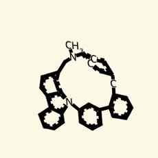 CN1Cc2ccc3c4ccccc4n(c3c2)-c2cccc(c2)-c2ccccc2Cc2ccc1cc2